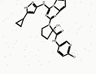 C[C@@]1(C(=O)Nc2ccc(Cl)nc2)CCCN1c1nc(Nc2cc(C3CC3)[nH]n2)n2cccc2n1